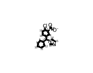 O=[N+]([O-])c1cc(C(c2ccccc2)n2ccnc2)ccc1Cl